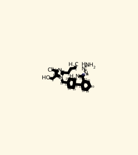 CCCCc1nc(Cl)c(CO)n1Cc1ccc(-c2ccccc2/C(N)=N/NN)cc1